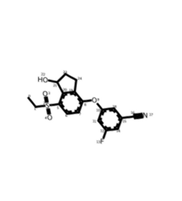 CCS(=O)(=O)c1ccc(Oc2cc(F)cc(C#N)c2)c2c1C(O)CC2